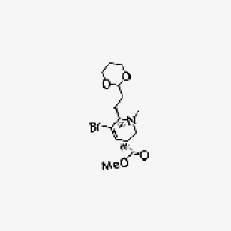 COC(=O)[C@@H]1C=C(Br)[C@@H](CCC2OCCCO2)N(C)C1